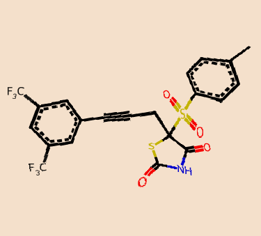 Cc1ccc(S(=O)(=O)C2(CC#Cc3cc(C(F)(F)F)cc(C(F)(F)F)c3)SC(=O)NC2=O)cc1